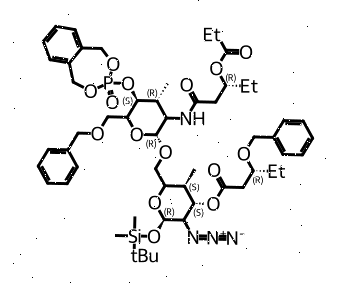 CCC(=O)O[C@H](CC)CC(=O)NC1[C@H](OCC2O[C@H](O[Si](C)(C)C(C)(C)C)C(N=[N+]=[N-])[C@@H](OC(=O)C[C@@H](CC)OCc3ccccc3)[C@@H]2C)OC(COCc2ccccc2)[C@@H](OP2(=O)OCc3ccccc3CO2)[C@@H]1C